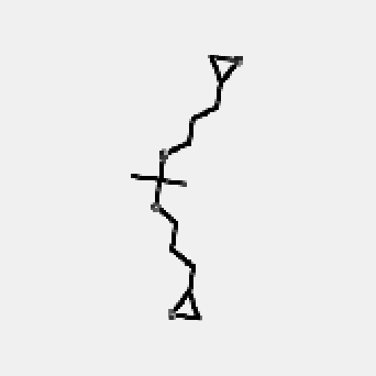 CC(C)(OCCCC1CO1)OCCCC1CO1